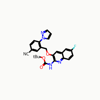 CC(C)(C)OC(=O)Nc1nc2ccc(F)cc2cc1OCc1cc(C#N)ccc1-n1cccn1